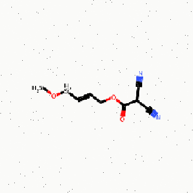 N#CC(C#N)C(=O)OCC=C[SiH2]O[SiH3]